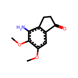 COc1cc2c(c(N)c1OC)CCC2=O